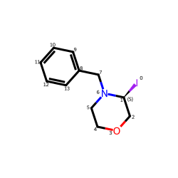 I[C@H]1COCCN1Cc1ccccc1